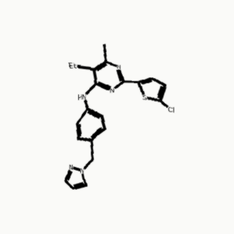 CCc1c(C)nc(-c2ccc(Cl)s2)nc1Nc1ccc(Cn2cccn2)cc1